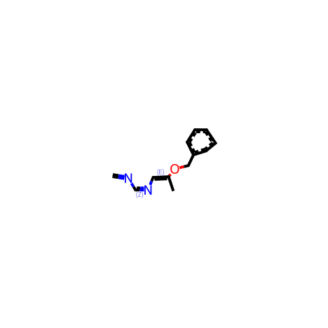 C=N/C=N\C=C(/C)OCc1ccccc1